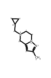 Cc1cc2n(n1)CCN(CC1CC1)C2